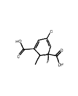 CC1C(C(=O)O)=CC(Cl)=CC1(F)C(=O)O